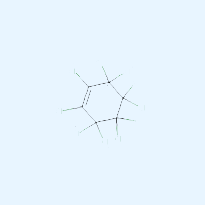 ClC1=C(Cl)C(Cl)(Cl)C(Cl)(Cl)C(Cl)(Cl)C1(Cl)Cl